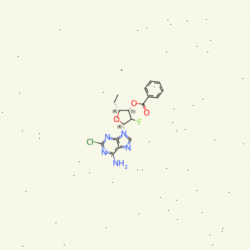 CC[C@H]1O[C@@H](n2cnc3c(N)nc(Cl)nc32)C(F)[C@H]1OC(=O)c1ccccc1